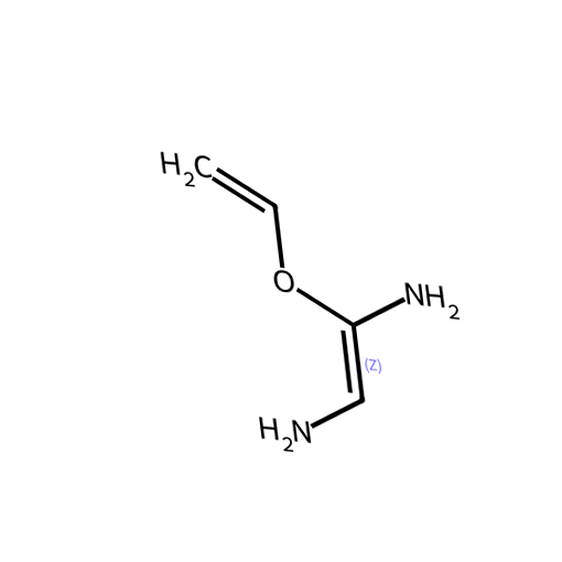 C=CO/C(N)=C\N